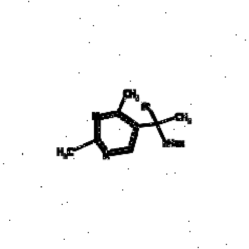 CCCCCCC(C)(CC)c1cnc(C)nc1C